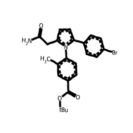 Cc1cc(C(=O)OC(C)(C)C)ccc1-n1c(CC(N)=O)ccc1-c1ccc(Br)cc1